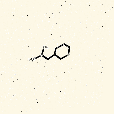 CN(C)CC1CCC[N]C1